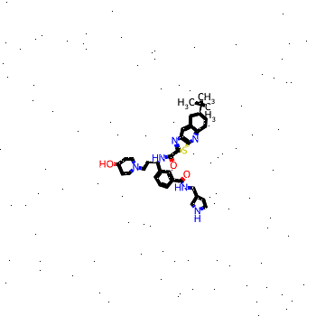 CC(C)(C)[C@H]1CCc2nc3sc(C(=O)N[C@H](CCN4CCC(O)CC4)c4cccc(C(=O)NCC5CCNC5)c4)nc3cc2C1